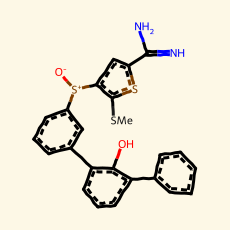 CSc1sc(C(=N)N)cc1[S+]([O-])c1cccc(-c2cccc(-c3ccccc3)c2O)c1